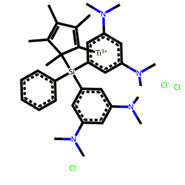 CC1=C(C)C(C)([Si](c2ccccc2)(c2cc(N(C)C)cc(N(C)C)c2)c2cc(N(C)C)cc(N(C)C)c2)[C]([Ti+3])=C1C.[Cl-].[Cl-].[Cl-]